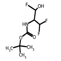 CC(C)(C)OC(=O)NC(C(O)F)C(F)F